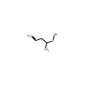 C=[C]CC(C)OCCC